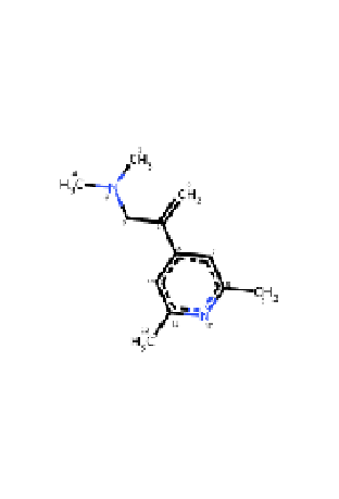 C=C(CN(C)C)c1cc(C)nc(C)c1